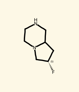 F[C@H]1CC2CNCCN2C1